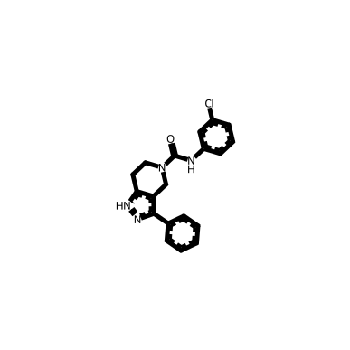 O=C(Nc1cccc(Cl)c1)N1CCc2[nH]nc(-c3ccccc3)c2C1